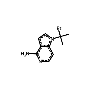 CCC(C)(C)n1ccc2c(N)nccc21